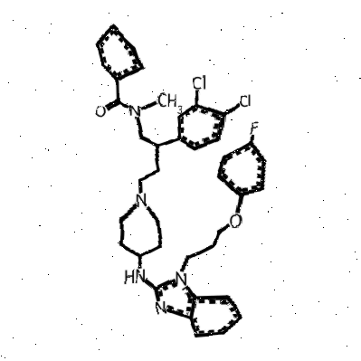 CN(CC(CCN1CCC(Nc2nc3ccccc3n2CCCOc2ccc(F)cc2)CC1)c1ccc(Cl)c(Cl)c1)C(=O)c1ccccc1